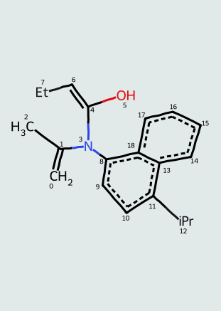 C=C(C)N(/C(O)=C\CC)c1ccc(C(C)C)c2ccccc12